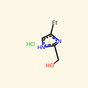 CCc1c[nH]c(CO)n1.Cl